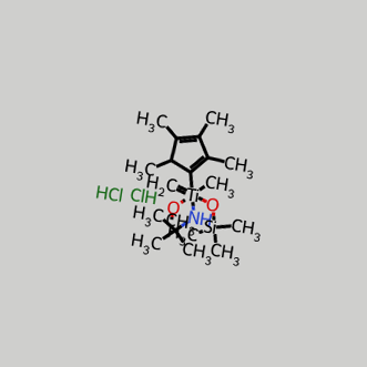 Cl.Cl.[CH2]=[Ti]([CH3])([NH]C(C)(C)C)([O]C)([O][Si](C)(C)C)[C]1=C(C)C(C)=C(C)C1C